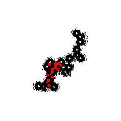 CC1(C)c2ccccc2-c2cc(-c3ccc4c(c3)c3ccccc3n4-c3cccc(-c4ccc5nccc(-c6cccc(-n7c8ccccc8c8cc(-c9ccc%10c(c9)-c9ccccc9C%10(C)C)ccc87)c6)c5c4-c4cccc(-n5c6ccccc6c6cc(-c7ccc8c(c7)-c7ccccc7C8(C)C)ccc65)c4)c3)ccc21